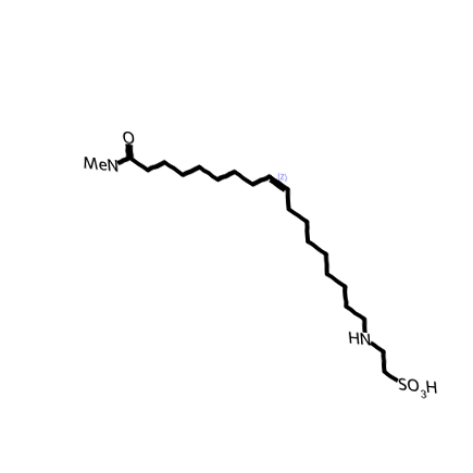 CNC(=O)CCCCCCC/C=C\CCCCCCCCNCCS(=O)(=O)O